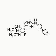 Cc1nc2c(F)cc(-c3ccn4nc(N[C@H]5CC[C@@H](N6CCOCC6)CC5)ncc34)cc2n1C(C)C